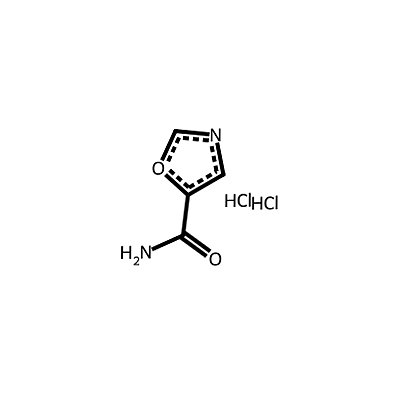 Cl.Cl.NC(=O)c1cnco1